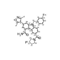 Cc1noc(C)c1-c1cc(C(N)=O)c2c3cc(C(=O)N4CC[C@H](F)C4)ccc3n(Cc3cccc(F)c3)c2c1